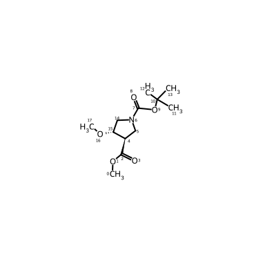 COC(=O)[C@@H]1CN(C(=O)OC(C)(C)C)C[C@H]1OC